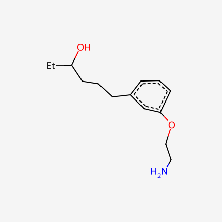 CCC(O)CCCc1cccc(OCCN)c1